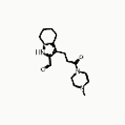 CN1CCN(C(=O)CCc2c(C=O)[nH]c3c2CCCC3)CC1